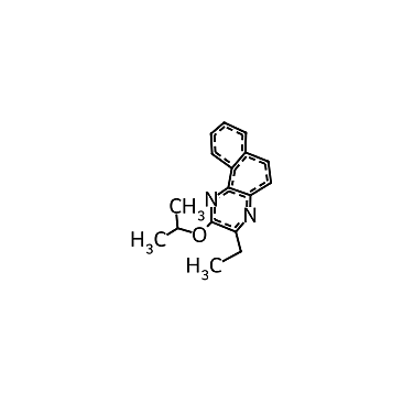 CCc1nc2ccc3ccccc3c2nc1OC(C)C